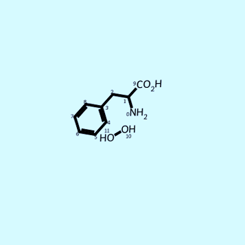 NC(Cc1ccccc1)C(=O)O.OO